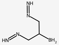 BC(CN=N)CN=N